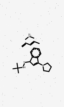 C=CC=CC.CC(C)(C)[NH][Ti][CH]1C=C(N2CCCC2)c2ccccc21.C[SiH2]C